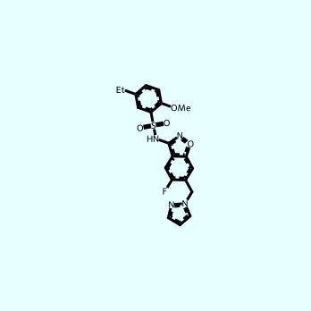 CCc1ccc(OC)c(S(=O)(=O)Nc2noc3cc(Cn4cccn4)c(F)cc23)c1